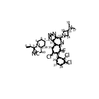 C=CC(=O)N1CC[C@H](n2nnc3c(N4CC(N(C)C)C4)nc4c(F)c(-c5cccc(Cl)c5Cl)c(Cl)cc4c32)C[C@H]1CC#N